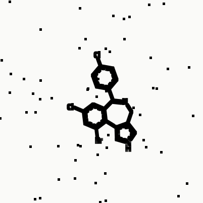 Clc1ccc(C2=NCc3c[nH]cc3-c3c(Br)cc(Cl)cc32)cc1